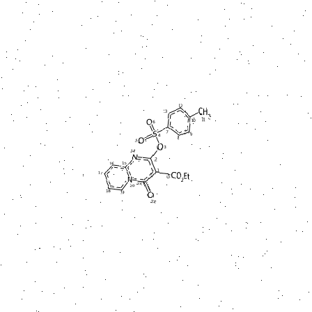 CCOC(=O)c1c(OS(=O)(=O)c2ccc(C)cc2)nc2ccccn2c1=O